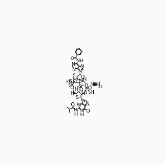 CC(C)C(=O)Nc1nc2c(ncn2[C@@H]2S[C@@H]3COP(=S)(S)O[C@H]4[C@H](F)[C@H](n5cnc6c(NC(=O)c7ccccc7)ncnc65)O[C@@H]4COP(=O)(S)O[C@@H]2[C@@H]3O[Si](C)(C)C(C)(C)C)c(=O)[nH]1.N.N